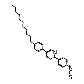 CCCCCCCCCCCc1ccc(-c2ccc(-c3ccc(N=C=S)cc3)nc2)cc1